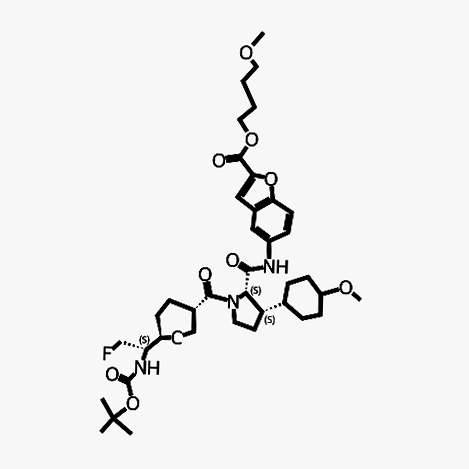 COCCCCOC(=O)c1cc2cc(NC(=O)[C@@H]3[C@H](C4CCC(OC)CC4)CCN3C(=O)[C@H]3CC[C@H]([C@@H](CF)NC(=O)OC(C)(C)C)CC3)ccc2o1